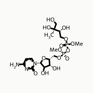 COP(=O)(OC[C@@H](O)[C@@](C)(O)CO)OP(=O)(OC)OC[C@H]1O[C@@H](n2ccc(N)nc2=O)C(O)[C@H]1O